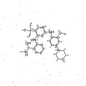 CNC(O)c1ccccc1Nc1cc(Nc2ccc(N3CCOCC3)cc2OC)ncc1C(F)(F)F